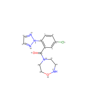 O=C(c1cc(Cl)ccc1-n1nccn1)N1CCNOCC1